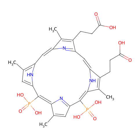 CC1=Cc2nc1c(P(=O)(O)O)c1cc(C)c(cc3nc(cc4[nH]c(c(C)c4CCC(=O)O)c2P(=O)(O)O)C(CCC(=O)O)=C3C)[nH]1